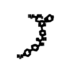 CN(C)Cc1cc(N2C3CCC2COC3)nc(-c2ccc(NC(=O)Nc3ccc(N4CCN(C)CC4)cc3)cc2)n1